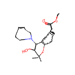 COC(=O)c1ccc2c(c1)C(N1CCCCC1)C(O)C(C)(C)O2